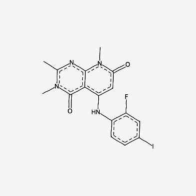 Cc1nc2c(c(Nc3ccc(I)cc3F)cc(=O)n2C)c(=O)n1C